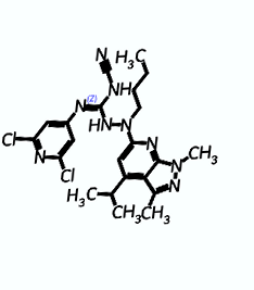 CCCCN(N/C(=N\c1cc(Cl)nc(Cl)c1)NC#N)c1cc(C(C)C)c2c(C)nn(C)c2n1